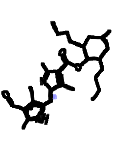 CCCCC1CC(C)CC(CCCC)C1OC(=O)C1=C(C)/C(=C/c2[nH]c(C)c(C=O)c2C)N=C1C